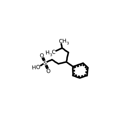 CC(C)CC(CCS(=O)(=O)O)c1ccccc1